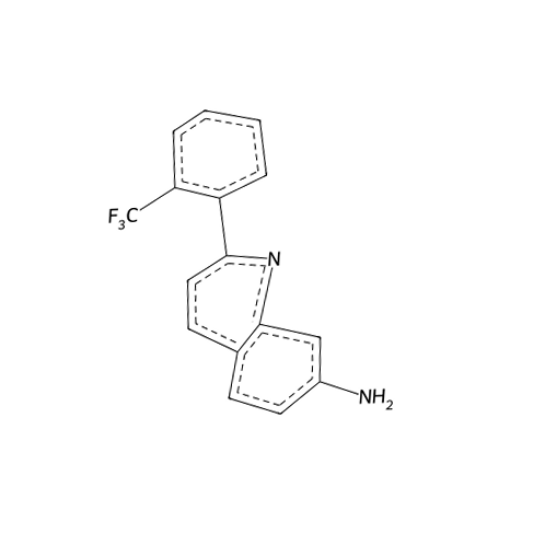 Nc1ccc2ccc(-c3ccccc3C(F)(F)F)nc2c1